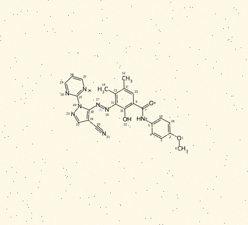 COc1ccc(NC(=O)c2cc(C)c(C)c(/N=N/c3c(C#N)cnn3-c3ncccn3)c2O)cc1